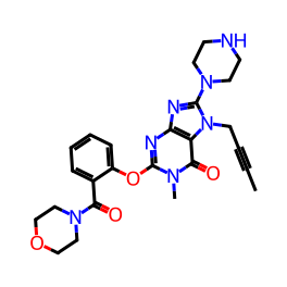 CC#CCn1c(N2CCNCC2)nc2nc(Oc3ccccc3C(=O)N3CCOCC3)n(C)c(=O)c21